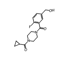 O=C(c1cc(CO)ccc1F)N1CCN(C(=O)C2CC2)CC1